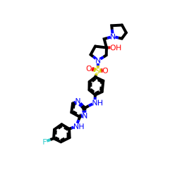 O=S(=O)(c1ccc(Nc2nccc(Nc3ccc(F)cc3)n2)cc1)N1CCC(O)(CN2CCCC2)C1